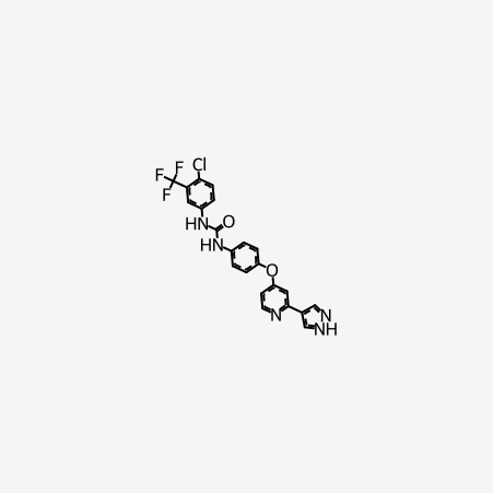 O=C(Nc1ccc(Oc2ccnc(-c3cn[nH]c3)c2)cc1)Nc1ccc(Cl)c(C(F)(F)F)c1